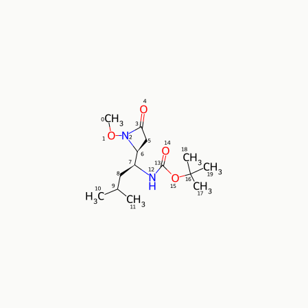 CON1C(=O)C[C@H]1[C@H](CC(C)C)NC(=O)OC(C)(C)C